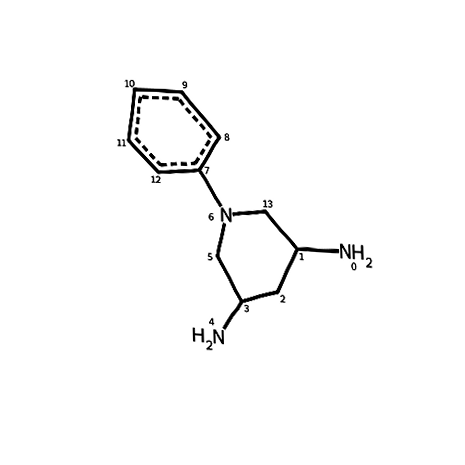 NC1CC(N)CN(c2ccccc2)C1